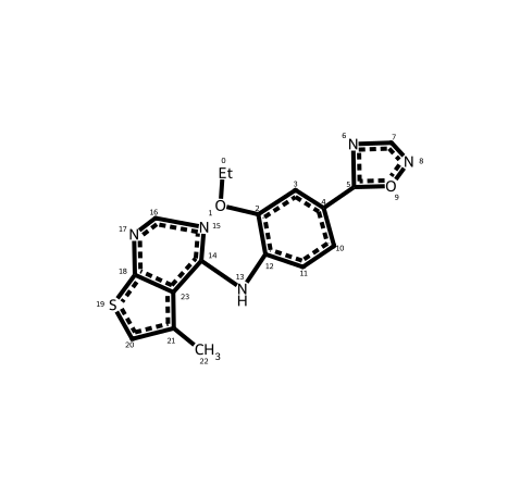 CCOc1cc(-c2ncno2)ccc1Nc1ncnc2scc(C)c12